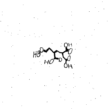 O=C(O)CC(CC(CCOO)C(=O)O)C(=O)O